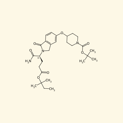 CCC(C)(C)OC(=O)CC[C@@H](C(N)=O)N1Cc2cc(OC3CCN(C(=O)OC(C)(C)C)CC3)ccc2C1=O